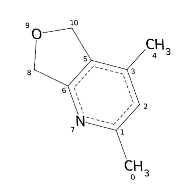 Cc1cc(C)c2c(n1)COC2